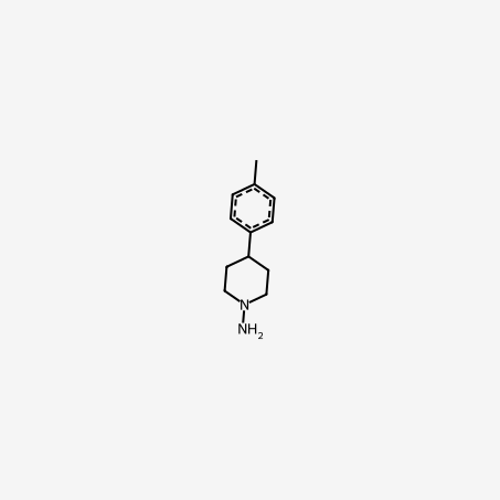 Cc1ccc(C2CCN(N)CC2)cc1